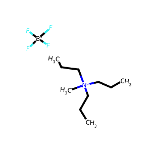 CCC[N+](C)(CCC)CCC.F[B-](F)(F)F